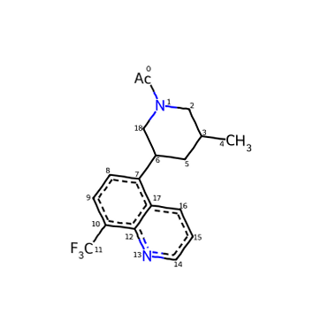 CC(=O)N1CC(C)CC(c2ccc(C(F)(F)F)c3ncccc23)C1